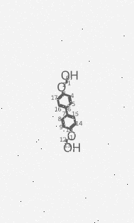 OCOc1ccc(-c2ccc(OCO)cc2)cc1